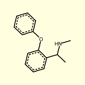 CNC(C)c1ccccc1Oc1ccccc1